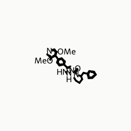 COc1cncc(OC)c1-c1ccc(C2=CN(C(=O)N3CCCCC3Cc3ccccc3)NN2)cc1